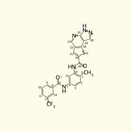 Cc1ccc(NC(=O)c2cccc(C(F)(F)F)c2)cc1NC(=O)c1cc2cnc3[nH]ncc3c2s1